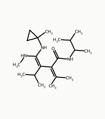 CN/C(NC1(C)CC1)=C(/C(C(=O)NC(C)C(C)C)=C(C)C)C(C)C